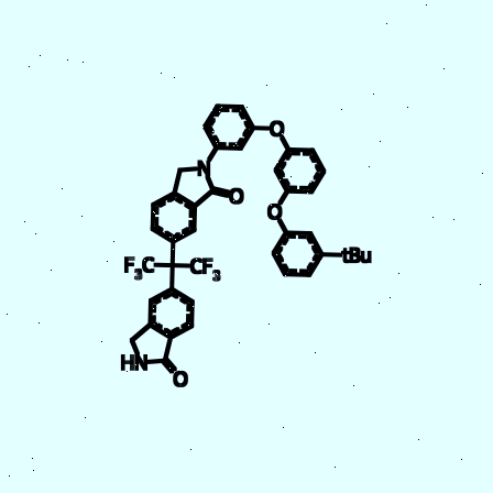 CC(C)(C)c1cccc(Oc2cccc(Oc3cccc(N4Cc5ccc(C(c6ccc7c(c6)CNC7=O)(C(F)(F)F)C(F)(F)F)cc5C4=O)c3)c2)c1